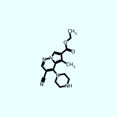 CCOC(=O)c1cn2ncc(C#N)c(N3CCNCC3)c2c1C